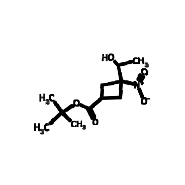 CC(O)C1([N+](=O)[O-])CC(C(=O)OC(C)(C)C)C1